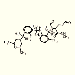 BC(B)(Nc1cccc(C)c1C(B)(B)N(C=O)C(CCC=O)C(=O)NC)c1cccc(C(B)(B)N2CC(C)OC(C)C2)c1F